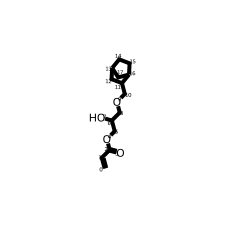 C=CC(=O)OCC(O)COCC1CC2CCC1C2